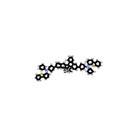 C[Si](C)(C)C1([Si](C)(C)C)c2cc3cc(-c4ccc(N(c5ccccc5)c5cccc6c5sc5ccccc56)cc4)ccc3cc2-c2c1c1ccc(-c3ccc(N(c4ccccc4)c4cccc5c4sc4ccccc45)cc3)cc1c1ccccc21